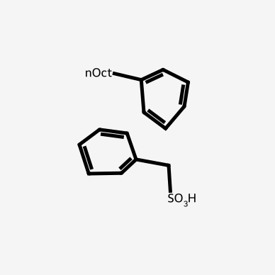 CCCCCCCCc1ccccc1.O=S(=O)(O)Cc1ccccc1